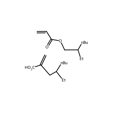 C=C(CC(CC)CCCC)C(=O)O.C=CC(=O)OCC(CC)CCCC